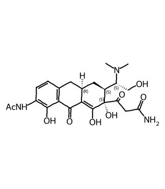 CC(=O)Nc1ccc2c(c1O)C(=O)C1=C(O)[C@](O)(C(=O)CC(N)=O)[C@H]([C@@H](CO)N(C)C)C[C@@H]1C2